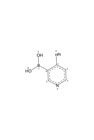 CCCc1ccncc1B(O)O